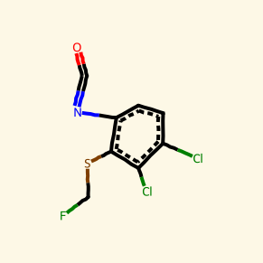 O=C=Nc1ccc(Cl)c(Cl)c1SCF